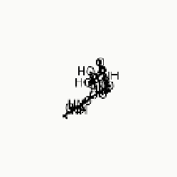 COCc1ccc(NC(=O)CNC(=O)C(NC(=O)CCOCCOCCNC(=O)CNC(=O)CCC(C)C)C(C)C)c(OC2CC(O)CC(C(=O)O)O2)c1